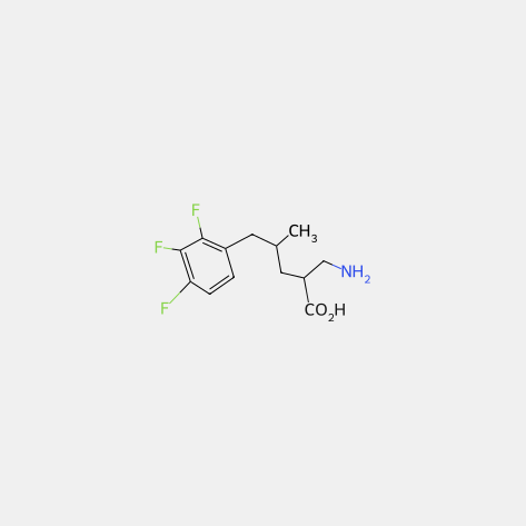 CC(Cc1ccc(F)c(F)c1F)CC(CN)C(=O)O